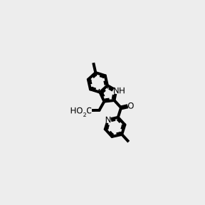 Cc1ccnc(C(=O)c2[nH]c3cc(C)ccc3c2CC(=O)O)c1